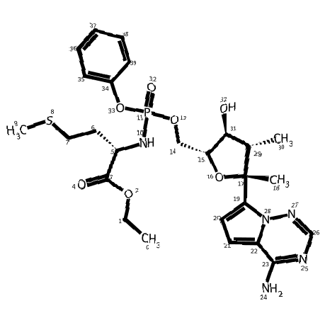 CCOC(=O)[C@H](CCSC)NP(=O)(OC[C@H]1O[C@@](C)(c2ccc3c(N)ncnn23)[C@@H](C)[C@@H]1O)Oc1ccccc1